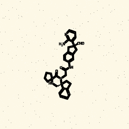 Nc1ncccc1[C@@]1(C=O)Cc2ccc(NC(=O)CN3C(=O)C4(CCCC4)NC[C@@]34CCc3ccccc34)cc2C1